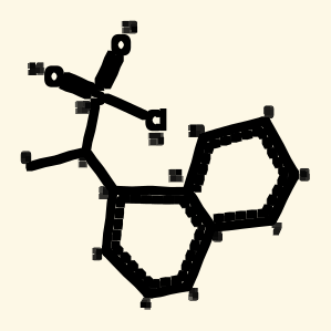 CC(c1cccc2ccccc12)S(=O)(=O)Cl